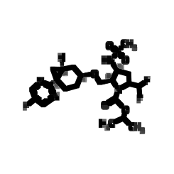 CC(C)OC(=O)N1C(C(F)F)C[C@H](NS(C)(=O)=O)[C@@H]1CO[C@H]1CC[C@@]2(c3ncc(F)cn3)C[C@H]2C1